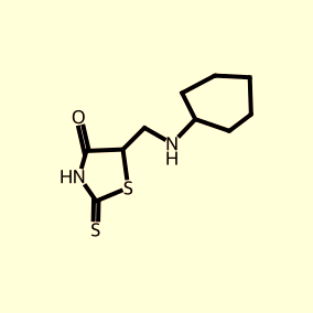 O=C1NC(=S)SC1CNC1CCCCC1